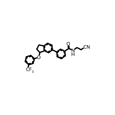 N#CCCNC(=O)c1cccc(-c2ccc3c(c2)C(Oc2cccc(C(F)(F)F)c2)CC3)c1